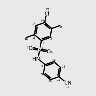 Cc1cc(S(=O)(=O)Nc2ccc(C#N)cc2)c(C)cc1Cl